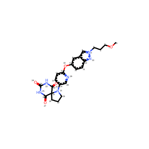 COCCCn1cc2cc(Oc3ccc(N4CCCC45C(=O)NC(=O)NC5=O)cn3)ccc2n1